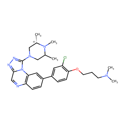 CC1CN(c2nnc3cnc4ccc(-c5ccc(OCCCN(C)C)c(Cl)c5)cc4n23)C[C@H](C)N1C